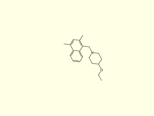 CCOC1CCN(Cc2c(C)cc(C)c3ccccc23)CC1